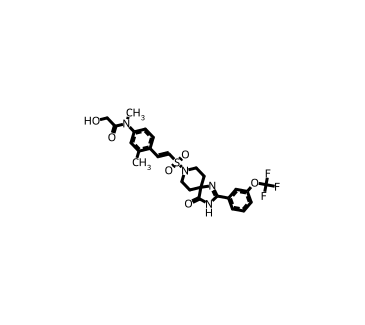 Cc1cc(N(C)C(=O)CO)ccc1C=CS(=O)(=O)N1CCC2(CC1)N=C(c1cccc(OC(F)(F)F)c1)NC2=O